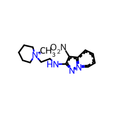 C[N+]1(CCNc2nn3ccccc3c2[N+](=O)[O-])CCCCC1